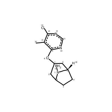 BN1C2CC[C@H]1CC(Oc1ncnc(Cl)c1C)C2